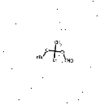 CCCCOC(C)(CC)OC=O